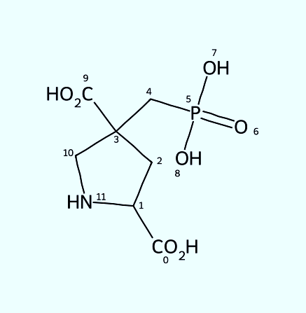 O=C(O)C1CC(CP(=O)(O)O)(C(=O)O)CN1